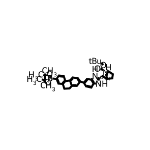 CC(C)(C)OC(=O)N1[C@@H]2CC[C@@H](C2)[C@H]1c1nc2ccc(-c3ccc4c(c3)CCc3cc(B5OC(C)(C)C(C)(C)O5)ccc3-4)cc2[nH]1